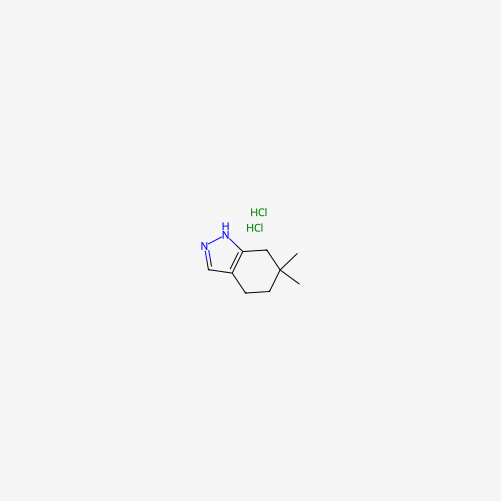 CC1(C)CCc2cn[nH]c2C1.Cl.Cl